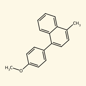 COc1ccc(-c2ccc(C)c3ccccc23)cc1